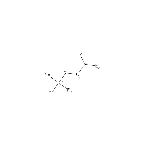 CCC(C)OCC(C)(F)F